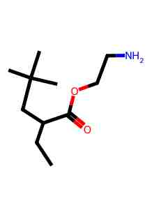 CCC(CC(C)(C)C)C(=O)OCCN